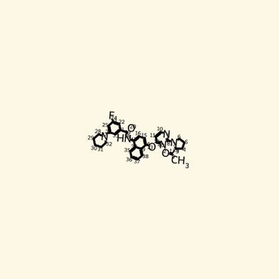 CC(=O)[C@@H]1CCCN1c1nccc(Oc2ccc(NC(=O)c3cc(F)cc(N4CCCCC4)c3)c3ccccc23)n1